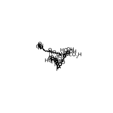 CC[C@@]1(O)C(=O)OCc2c1cc1n(c2=O)Cc2c-1nc1cc(F)c(C)c3c1c2[C@@H](NC(=O)OCc1ccc(O[C@@H]2O[C@H](C(=O)O)[C@@H](O)[C@H](O)[C@H]2O)c(NC(=O)COCCOCCNC(=O)CCCC#Cc2cnc(S(C)(=O)=O)nc2)c1)CC3